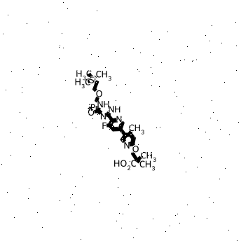 Cc1cc(OCC(C)(C)C(=O)O)ncc1-c1cnc(C(=N)/N=C(\NCOCC[Si](C)(C)C)OC(C)C)c(F)c1